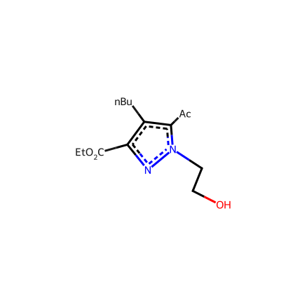 CCCCc1c(C(=O)OCC)nn(CCO)c1C(C)=O